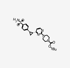 CC(C)(C)OC(=O)N1CCN(c2nccc([C@@H]3C[C@H]3c3ccc(S(N)(=O)=O)cc3)n2)CC1